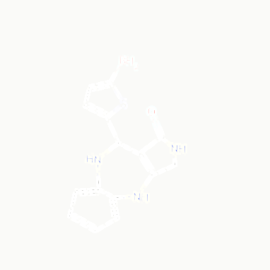 Bc1ccc(C2Nc3ccccc3NC3=C2C(=O)NC3)s1